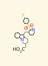 O=C(O)CC1CCc2c(Cc3cccnc3S(=O)(=O)c3ccc(F)cc3)c3ccccc3n2C1